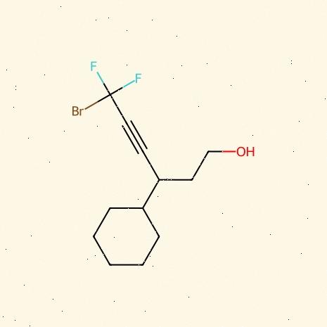 OCCC(C#CC(F)(F)Br)C1CCCCC1